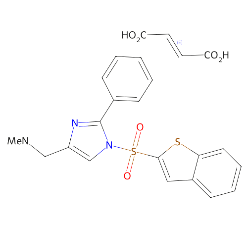 CNCc1cn(S(=O)(=O)c2cc3ccccc3s2)c(-c2ccccc2)n1.O=C(O)/C=C/C(=O)O